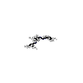 CC#CC[C@@H](C/C=C\NC(=O)[C@@H](NC(=O)\C=C/C=C\C(C)=C\[C@H](C)[C@@H]1CC=C(C)[C@H](O)O1)C(C)(C)C)OC(C)C